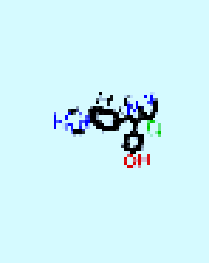 Cn1c(-c2ccc(N3CCNCC3)cc2)c(-c2ccc(O)cc2)c2c(Cl)ccnc21